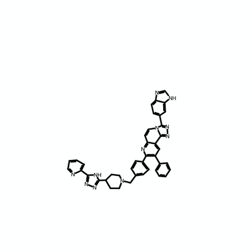 c1ccc(-c2cc3c(ccn4c(-c5ccc6nc[nH]c6c5)nnc34)nc2-c2ccc(CN3CCC(c4nnc(-c5ccccn5)[nH]4)CC3)cc2)cc1